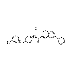 CCc1ccc[n+](Cc2ccc(NC(=O)C3=Cc4cc(-c5ccccc5)ccc4CC3)cc2)c1.[Cl-]